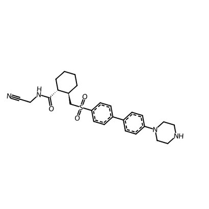 N#CCNC(=O)[C@@H]1CCCC[C@H]1CS(=O)(=O)c1ccc(-c2ccc(N3CCNCC3)cc2)cc1